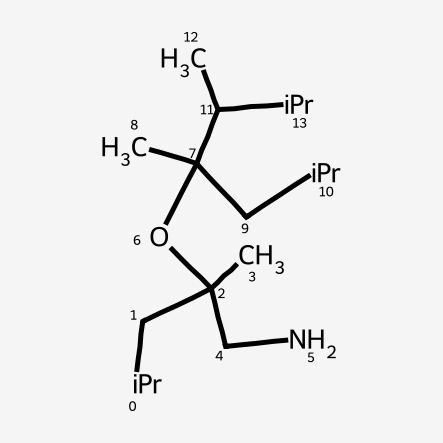 CC(C)CC(C)(CN)OC(C)(CC(C)C)C(C)C(C)C